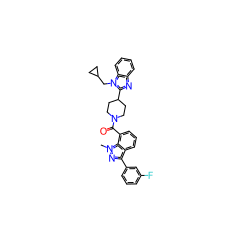 Cn1nc(-c2cccc(F)c2)c2cccc(C(=O)N3CCC(c4nc5ccccc5n4CC4CC4)CC3)c21